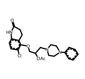 CC(=O)OC(COc1c(Cl)ccc2c1CCC(=O)N2)CN1CCN(c2ccccc2)CC1